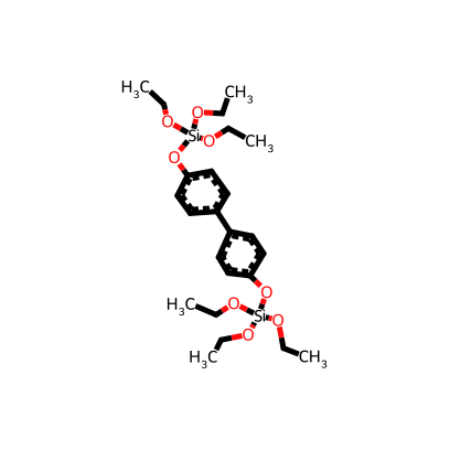 CCO[Si](OCC)(OCC)Oc1ccc(-c2ccc(O[Si](OCC)(OCC)OCC)cc2)cc1